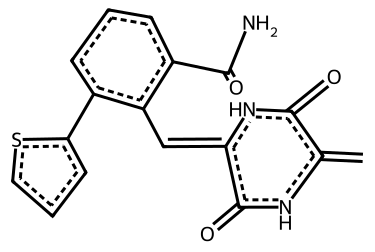 C=c1[nH]c(=O)c(=Cc2c(C(N)=O)cccc2-c2cccs2)[nH]c1=O